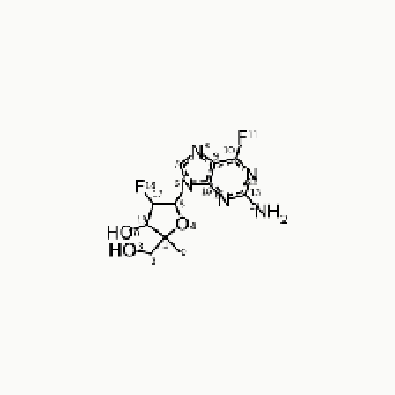 CC1(CO)OC(n2cnc3c(F)nc(N)nc32)C(F)C1O